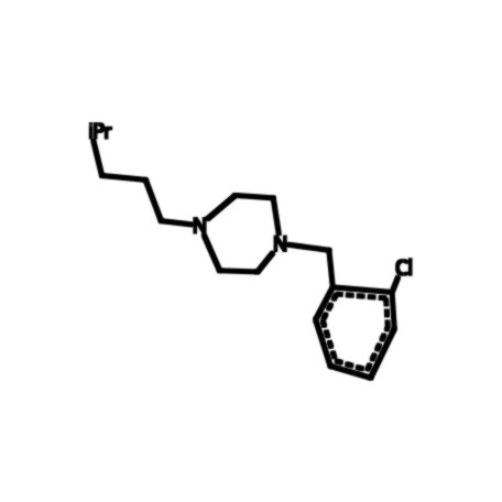 CC(C)CCCN1CCN(Cc2ccccc2Cl)CC1